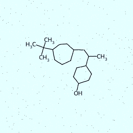 CC(CC1CCCC(C(C)(C)C)CC1)C1CCC(O)CC1